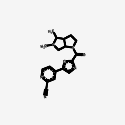 CC1C2CCN(C(=O)c3ncc(-c4ccnc(C#N)c4)o3)C2CN1C